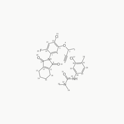 C#CC(C)Oc1cc(N2C(=O)C3=C(CCCC3)C2=O)c(F)cc1Cl.Cc1ccc(NC(=O)N(C)C)cc1Cl